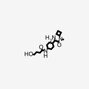 CN(C(=O)[C@@H](N)C1CCC(NC(=O)CCCO)CC1)C1CCC1